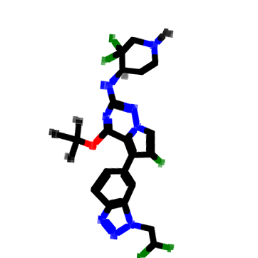 [2H]C([2H])([2H])Oc1nc(N[C@@H]2CCN(C(C)=O)CC2(F)F)nn2cc(F)c(-c3ccc4nnn(CC(F)F)c4c3)c12